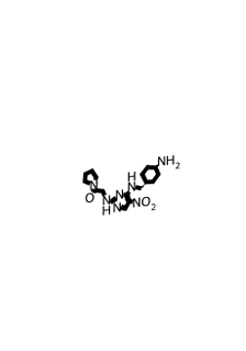 N[C@H]1CC[C@H](CNc2nc(NCC(=O)N3CCCC3)ncc2[N+](=O)[O-])CC1